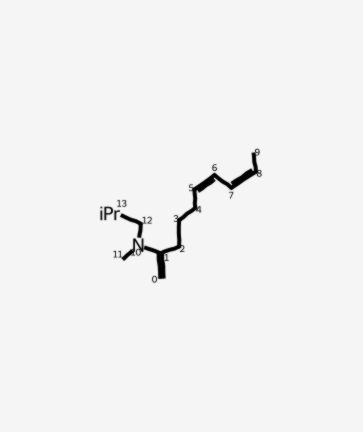 C=C(CCC/C=C\C=C/C)N(C)CC(C)C